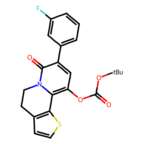 CC(C)(C)OC(=O)Oc1cc(-c2cccc(F)c2)c(=O)n2c1-c1sccc1CC2